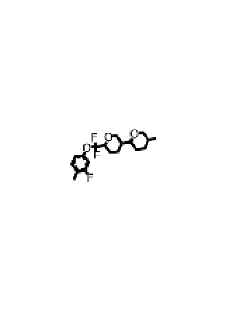 Cc1ccc(OC(F)(F)C2CCC(C3CCC(C)CO3)CO2)cc1F